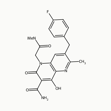 CNC(=O)Cn1c(=O)c(C(N)=O)c(O)c2nc(C)c(Cc3ccc(F)cc3)cc21